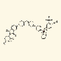 N#Cc1ccc(OC2CC3CCC(C2)N3C(=O)c2ccc(N3CCN(CC4CCN(c5ccc6c(c5)C(=O)N(C5CCC(=O)NC5=O)C6=O)CC4)CC3)cc2)cc1C(F)(F)F